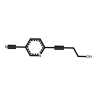 N#Cc1ccc(C#CCCO)nc1